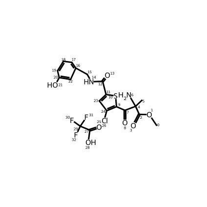 COC(=O)C(C)(N)C(=O)c1sc(C(=O)NCc2cccc(O)c2)cc1Cl.O=C(O)C(F)(F)F